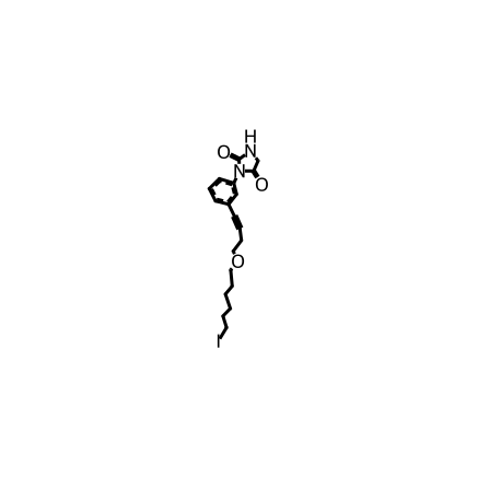 O=C1CNC(=O)N1c1cccc(C#CCCOCCCCCCI)c1